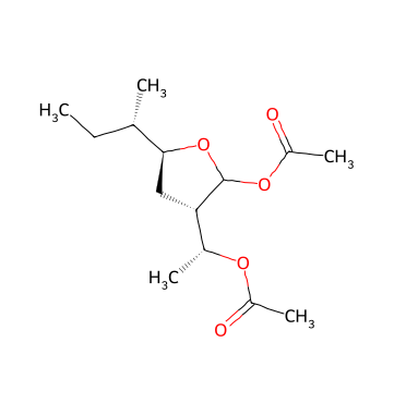 CC[C@H](C)[C@@H]1C[C@@H]([C@@H](C)OC(C)=O)C(OC(C)=O)O1